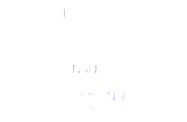 CCCCCCCCCCCCCCCCCCOC(=O)[C@@H](N)[C@@H](C)CC.[NaH]